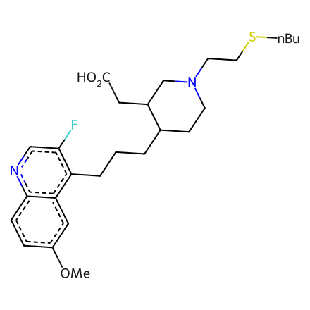 CCCCSCCN1CCC(CCCc2c(F)cnc3ccc(OC)cc23)C(CC(=O)O)C1